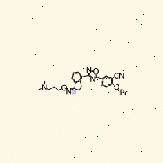 CC(C)Oc1ccc(-c2nc(-c3cccc4c3CC/C4=N/OCCCN(C)C)no2)cc1C#N